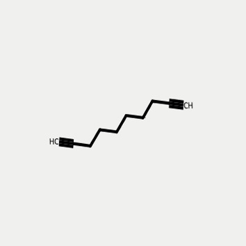 C#CC[CH]CCCCC#C